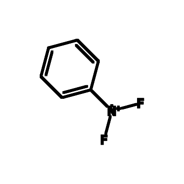 F[N+](F)c1ccccc1